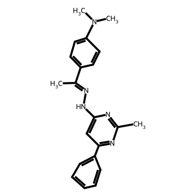 C/C(=N\Nc1cc(-c2ccccc2)nc(C)n1)c1ccc(N(C)C)cc1